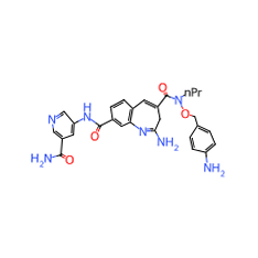 CCCN(OCc1ccc(N)cc1)C(=O)C1=Cc2ccc(C(=O)Nc3cncc(C(N)=O)c3)cc2N=C(N)C1